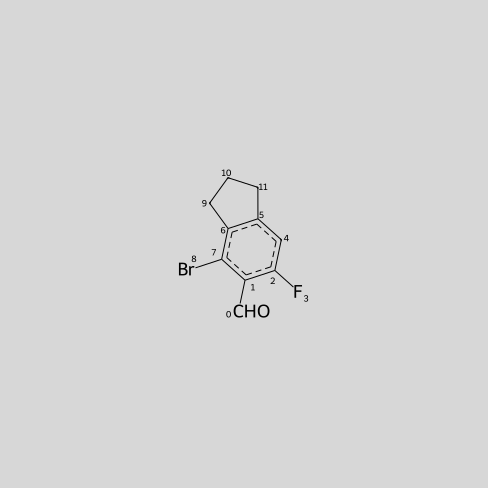 O=Cc1c(F)cc2c(c1Br)CCC2